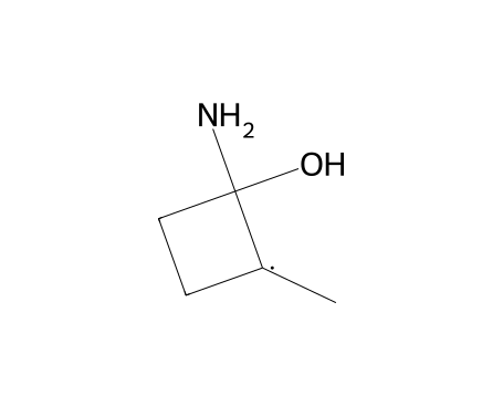 C[C]1CCC1(N)O